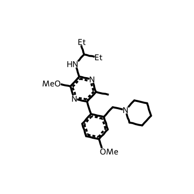 CCC(CC)Nc1nc(C)c(-c2ccc(OC)cc2CN2CCCCC2)nc1OC